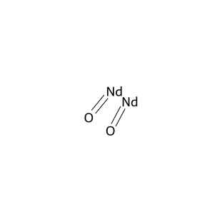 [O]=[Nd].[O]=[Nd]